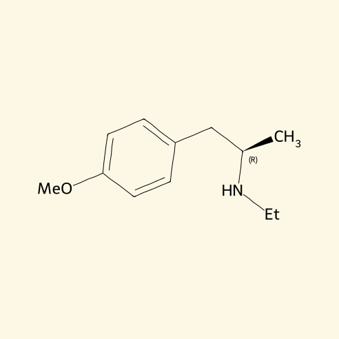 CCN[C@H](C)Cc1ccc(OC)cc1